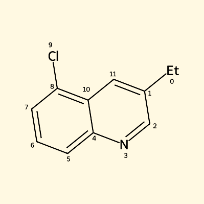 CCc1cnc2cccc(Cl)c2c1